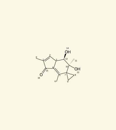 CC1=CC2C(=C(C)C3(CC3)[C@](C)(O)[C@@H]2O)C1=O